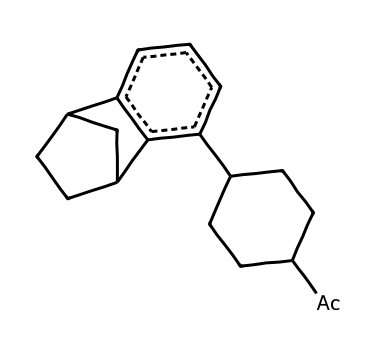 CC(=O)C1CCC(c2cccc3c2C2CCC3C2)CC1